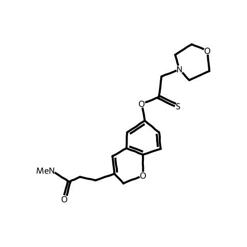 CNC(=O)CCC1=Cc2cc(OC(=S)CN3CCOCC3)ccc2OC1